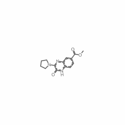 COC(=O)c1ccc2[nH]c(=O)c(N3CCCC3)nc2c1